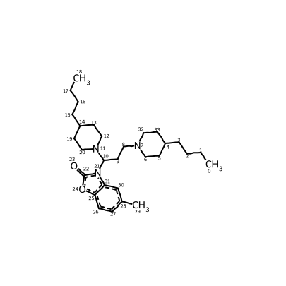 CCCCC1CCN(CCC(N2CCC(CCCC)CC2)n2c(=O)oc3ccc(C)cc32)CC1